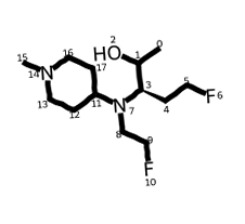 CC(O)[C@@H](CCF)N(CCF)C1CCN(C)CC1